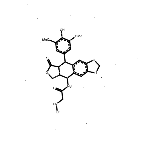 CCNCC(=O)NC1c2cc3c(cc2C(c2cc(OC)c(O)c(OC)c2)C2C(=O)OCC12)OCO3